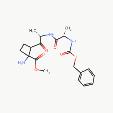 COC(=O)C1(N)CCC1C(=O)[C@H](C)NC(=O)[C@H](C)NC(=O)OCc1ccccc1